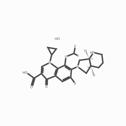 Cl.O=C(O)c1cn(C2CC2)c2c(OC(F)F)c(N3C[C@@H]4CCCN[C@@H]4C3)c(F)cc2c1=O